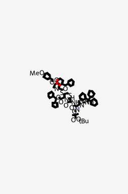 COc1ccc(COC2C=NC(C(OC(c3ccccc3)c3ccccc3)SC3=C(C(=O)OC(c4ccccc4)c4ccccc4)N4C(=O)C(NC(=O)/C(=N\OC(C)(C)C(=O)OC(C)(C)C)c5csc(NC(c6ccccc6)(c6ccccc6)c6ccccc6)n5)[C@@H]4SC3)=CC2=O)cc1